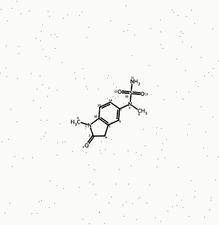 CN1C(=O)Cc2cc(N(C)S(N)(=O)=O)ccc21